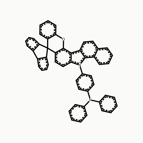 c1ccc(N(c2ccccc2)c2ccc(-n3c4ccc5c(c4c4ccc6ccccc6c43)Oc3ccccc3C53c4ccccc4-c4ccccc43)cc2)cc1